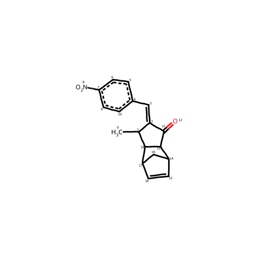 CC1/C(=C\c2ccc([N+](=O)[O-])cc2)C(=O)C2C3C=CC(C3)C12